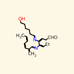 C=C(/C=C\C=C/C)/C=N/C(=C/CC)C(=C\CC=O)/N=C/CCCCCO